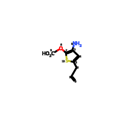 C=CCc1cc(N)c(OC(=O)O)s1